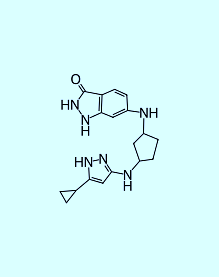 O=c1[nH][nH]c2cc(NC3CCC(Nc4cc(C5CC5)[nH]n4)C3)ccc12